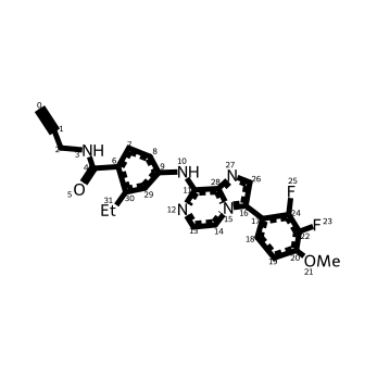 C#CCNC(=O)c1ccc(Nc2nccn3c(-c4ccc(OC)c(F)c4F)cnc23)cc1CC